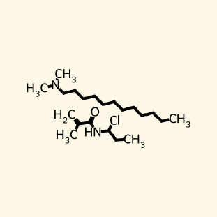 C=C(C)C(=O)NC(Cl)CC.CCCCCCCCCCCCN(C)C